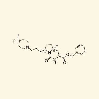 C[C@H]1C(=O)N2[C@@H](CCCN3CCC(F)(F)CC3)CC[C@H]2CN1C(=O)OCc1ccccc1